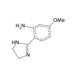 COc1ccc(C2=NCCN2)c(N)c1